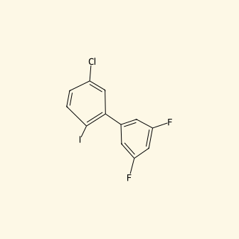 Fc1cc(F)cc(-c2cc(Cl)ccc2I)c1